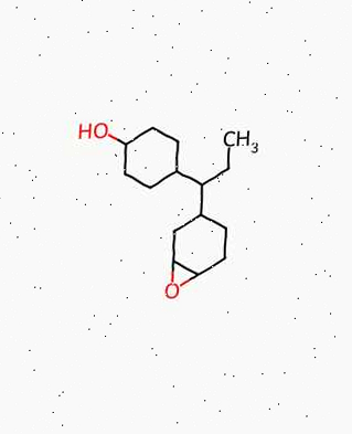 CCC(C1CCC(O)CC1)C1CCC2OC2C1